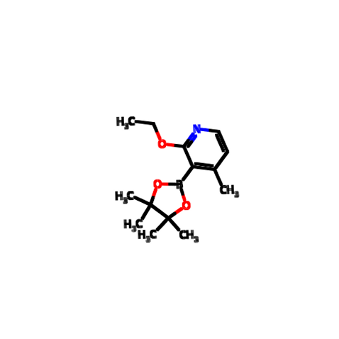 CCOc1nccc(C)c1B1OC(C)(C)C(C)(C)O1